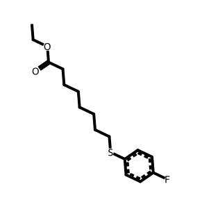 CCOC(=O)CCCCCCCSc1ccc(F)cc1